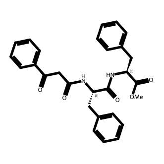 COC(=O)[C@H](Cc1ccccc1)NC(=O)[C@H](Cc1ccccc1)NC(=O)CC(=O)c1ccccc1